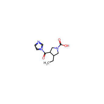 CCC1CN(C(=O)O)CC1C(=O)n1ccnc1